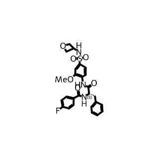 COc1cc(S(=O)(=O)NC2COC2)ccc1NC(=O)[C@H](Cc1ccccc1)NC(=O)c1ccc(F)cc1